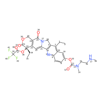 CCc1c2c(nc3ccc(OC(=O)N(C)CCNC)cc13)-c1cc3c(c(=O)n1C2)COC(=O)[C@@]3(CC)OC(=O)C(F)(F)F